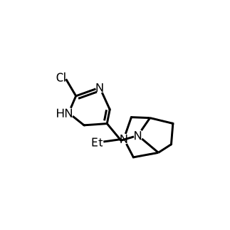 CCN1CC2CCC(C1)N2CC1=CN=C(Cl)NC1